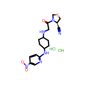 Cl.Cl.N#C[C@@H]1CSCN1C(=O)CNC1CCC(Nc2ccc([N+](=O)[O-])cn2)CC1